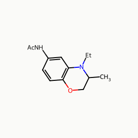 CCN1c2cc(NC(C)=O)ccc2OCC1C